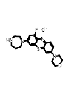 Fc1cc(N2CCCNCC2)cc2[s+]c3cc(N4CCOCC4)ccc3nc12.[Cl-]